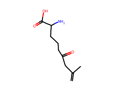 C=C(C)CC(=O)CCCC(N)C(=O)O